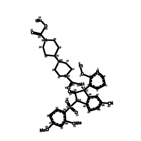 CCOc1ncccc1[C@]1(NC(=O)N2CCN(C3CCN(C(=O)OC(C)(C)C)CC3)CC2)C(=O)N(S(=O)(=O)c2ccc(OC)cc2OC)c2ccc(C#N)cc21